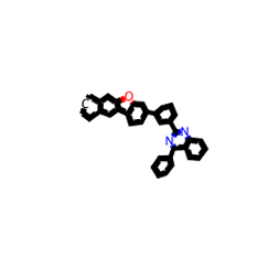 c1ccc(-c2nc(-c3cccc(-c4ccc5c(c4)oc4cc6ccccc6cc45)c3)nc3ccccc23)cc1